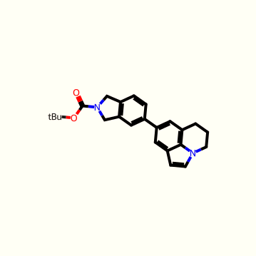 CC(C)(C)OC(=O)N1Cc2ccc(-c3cc4c5c(ccn5CCC4)c3)cc2C1